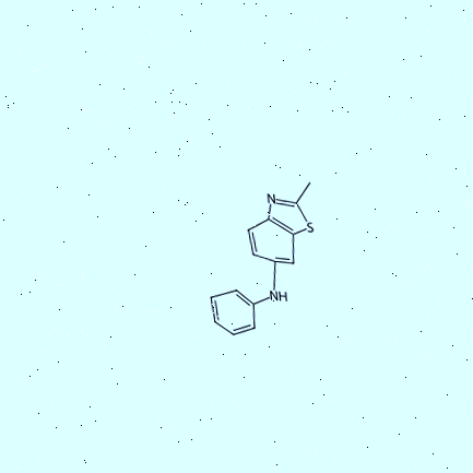 Cc1nc2ccc(Nc3ccccc3)cc2s1